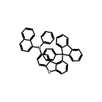 c1ccc(N(c2ccc3oc4cccc(C5(c6ccccc6)c6ccccc6-c6ccccc65)c4c3c2)c2cccc3ccccc23)cc1